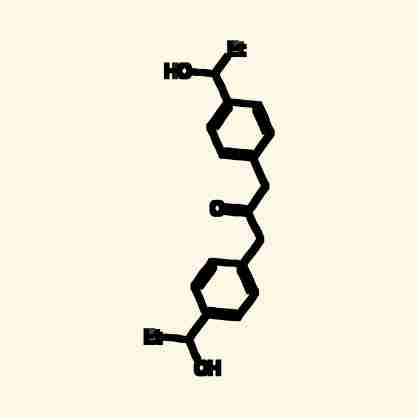 CCC(O)c1ccc(CC(=O)Cc2ccc(C(O)CC)cc2)cc1